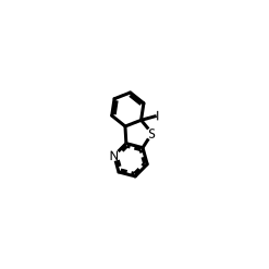 IC12C=CC=CC1c1ncccc1S2